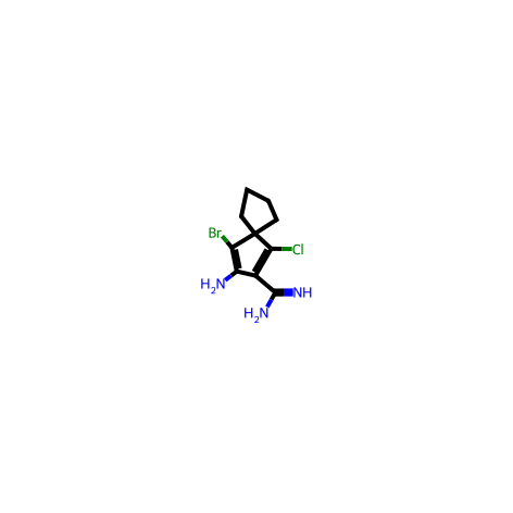 N=C(N)C1=C(Cl)C2(CCCC2)C(Br)=C1N